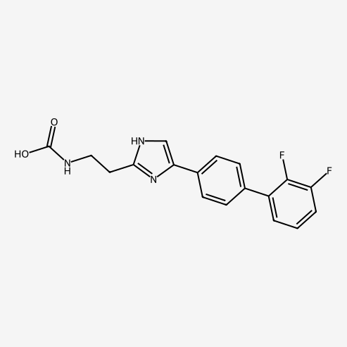 O=C(O)NCCc1nc(-c2ccc(-c3cccc(F)c3F)cc2)c[nH]1